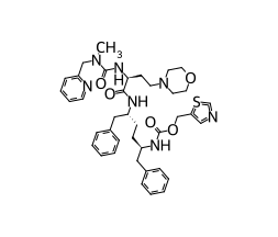 CN(Cc1ccccn1)C(=O)N[C@@H](CCN1CCOCC1)C(=O)N[C@H](CC[C@H](Cc1ccccc1)NC(=O)OCc1cncs1)Cc1ccccc1